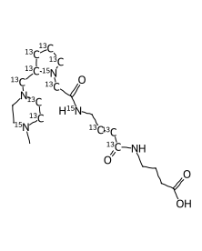 C[15N]1CCN([13CH2][13CH]2[13CH2][13CH2][13CH2][15N]2[13CH2]C(=O)[15NH]C[13CH2][13CH2][13C](=O)NCCCC(=O)O)[13CH2][13CH2]1